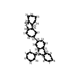 c1ccc(-n2c3ccccc3c3ccc(-c4ccc5sc6ccccc6c5c4)cc32)cc1